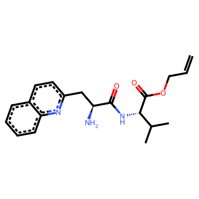 C=CCOC(=O)[C@@H](NC(=O)[C@@H](N)Cc1ccc2ccccc2n1)C(C)C